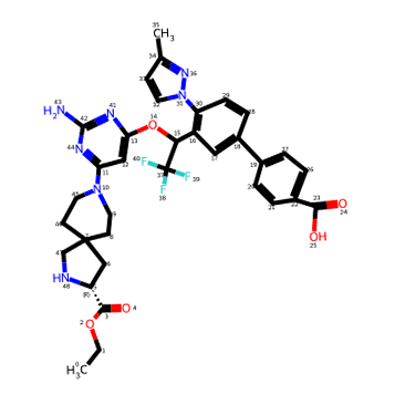 CCOC(=O)[C@H]1CC2(CCN(c3cc(OC(c4cc(-c5ccc(C(=O)O)cc5)ccc4-n4ccc(C)n4)C(F)(F)F)nc(N)n3)CC2)CN1